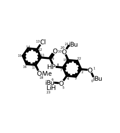 CCC(C)Oc1cc(OC(C)CC)c(PC(=O)c2c(Cl)cccc2OC)c(OC(C)CC)c1.[LiH]